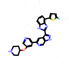 Fc1ccc(-c2cccc3[nH]c(-c4n[nH]c5cnc(-c6cncc(OC7CCNCC7)c6)cc45)nc23)s1